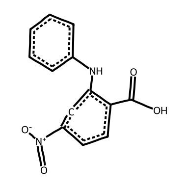 O=C(O)c1ccc([N+](=O)[O-])cc1Nc1ccccc1